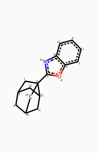 c1ccc2oc(C34CC5CC(CC3C5)C4)nc2c1